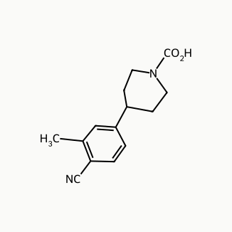 Cc1cc(C2CCN(C(=O)O)CC2)ccc1C#N